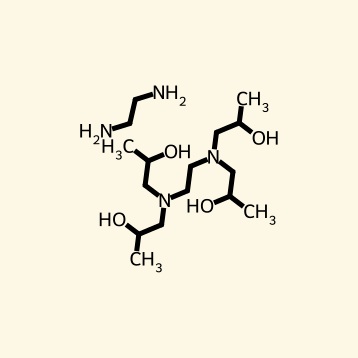 CC(O)CN(CCN(CC(C)O)CC(C)O)CC(C)O.NCCN